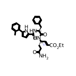 CCOC(=O)/C=C/[C@H](CCC(N)=O)NC(=O)[C@H](Cc1ccccc1)NC(=O)c1ccc(-c2ccccc2C)[nH]1